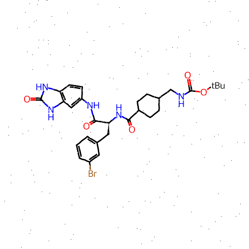 CC(C)(C)OC(=O)NCC1CCC(C(=O)N[C@@H](Cc2cccc(Br)c2)C(=O)Nc2ccc3[nH]c(=O)[nH]c3c2)CC1